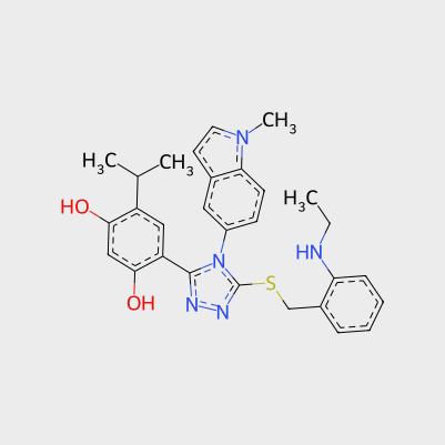 CCNc1ccccc1CSc1nnc(-c2cc(C(C)C)c(O)cc2O)n1-c1ccc2c(ccn2C)c1